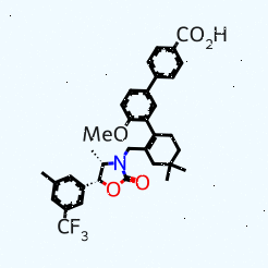 COc1ccc(-c2ccc(C(=O)O)cc2)cc1C1=C(CN2C(=O)O[C@H](c3cc(C)cc(C(F)(F)F)c3)[C@@H]2C)CC(C)(C)CC1